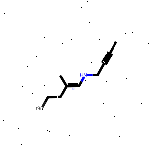 CC#CCN/C=C(\C)CCC(C)(C)C